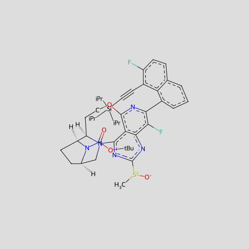 CC(C)[Si](C#Cc1c(F)ccc2cccc(-c3nc4c5c(nc([S+](C)[O-])nc5c3F)N3C[C@H]5CC[C@@H]([C@H]3CCO4)N5C(=O)OC(C)(C)C)c12)(C(C)C)C(C)C